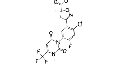 COC(=O)C1(C)CC(c2cc(-n3c(=O)cc(C(F)(F)F)n(C)c3=O)c(F)cc2Cl)=NO1